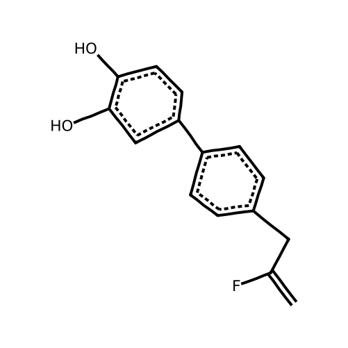 C=C(F)Cc1ccc(-c2ccc(O)c(O)c2)cc1